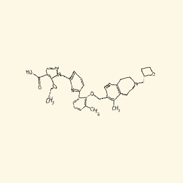 CCOc1c(C(=O)O)cnn1-c1cccc(-c2cccc(C)c2OCc2ccc3c(c2C)CCN(C[C@@H]2CCO2)CC3)n1